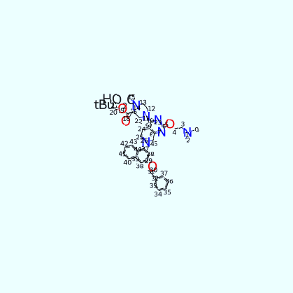 CN(C)CCOc1nc2c(c(N3CCN(C(=O)O)C(C(=O)OCC(C)(C)C)C3)n1)CCN(c1cc(OCc3ccccc3)cc3ccccc13)C2